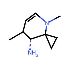 CC1C=CN(C)C2(CC2)[C@@H]1N